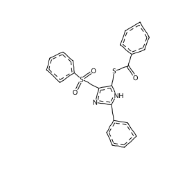 O=C(Sc1[nH]c(-c2ccccc2)nc1S(=O)(=O)c1ccccc1)c1ccccc1